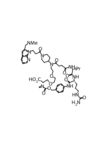 C=NC(=O)OCc1ccc(NC(=O)[C@H](CCCNC(N)=O)NC(=O)[C@@H](NC(=O)CCC(=O)N(CCOCCOCCC(=O)O)C2CCN(C(=O)CCn3c(CNC)cc4cccnc43)CC2)C(C)C)cc1